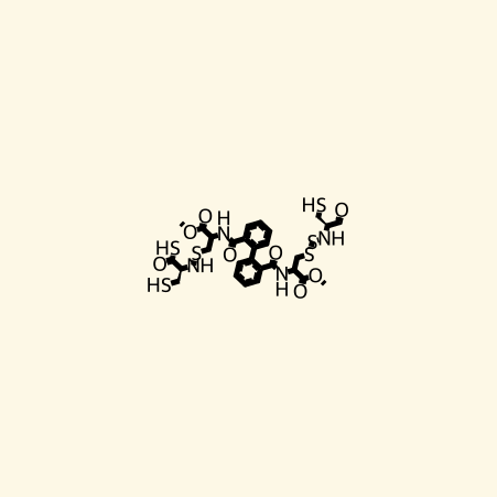 COC(=O)C(CSN[C@@H](CS)C(=O)S)NC(=O)c1ccccc1-c1ccccc1C(=O)NC(CSSN[C@H](C=O)CS)C(=O)OC